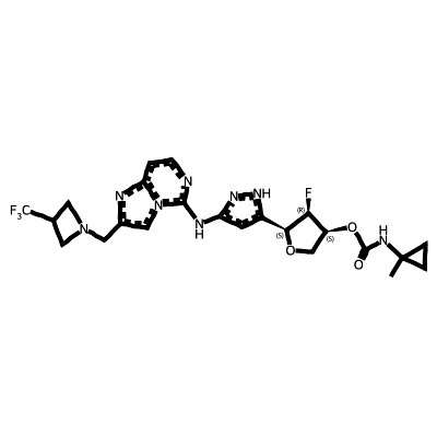 CC1(NC(=O)O[C@H]2CO[C@@H](c3cc(Nc4nccc5nc(CN6CC(C(F)(F)F)C6)cn45)n[nH]3)[C@H]2F)CC1